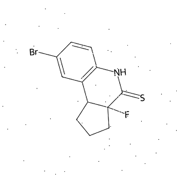 FC12CCCC1c1cc(Br)ccc1NC2=S